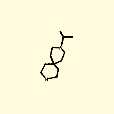 CC(C)N1CCC2(CC[N]CC2)CC1